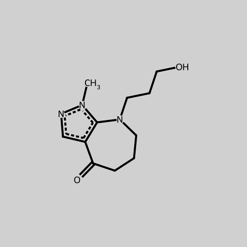 Cn1ncc2c1N(CCCO)CCCC2=O